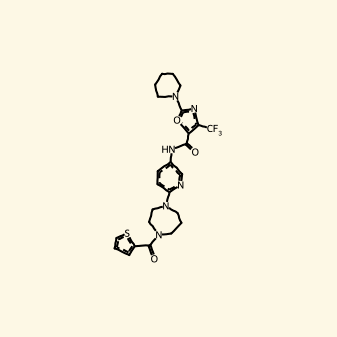 O=C(Nc1ccc(N2CCCN(C(=O)c3cccs3)CC2)nc1)c1oc(N2CCCCC2)nc1C(F)(F)F